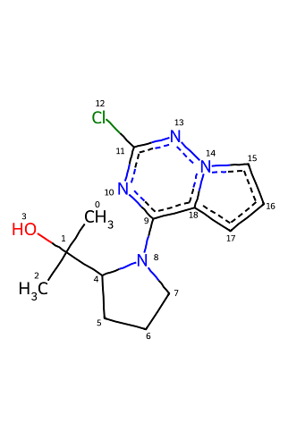 CC(C)(O)C1CCCN1c1nc(Cl)nn2cccc12